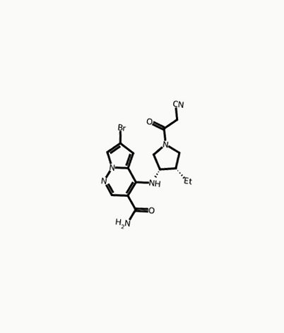 CC[C@H]1CN(C(=O)CC#N)C[C@H]1Nc1c(C(N)=O)cnn2cc(Br)cc12